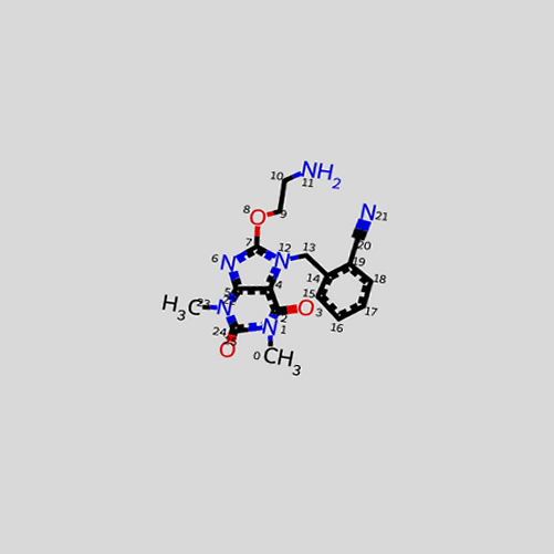 Cn1c(=O)c2c(nc(OCCN)n2Cc2ccccc2C#N)n(C)c1=O